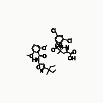 CC1(C(=O)O)CC(C(=O)O)=NN1c1ccc(Cl)cc1Cl.CCC(C)(CC)c1cc(NC(=O)c2c(OC)cccc2OC)on1